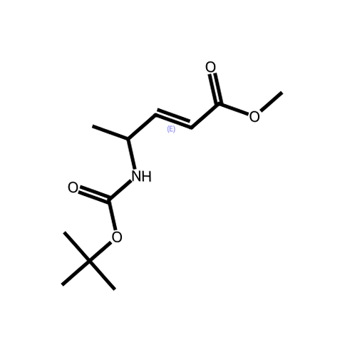 COC(=O)/C=C/C(C)NC(=O)OC(C)(C)C